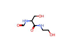 O=CNC(CO)C(=O)NCCO